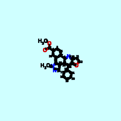 COC(=O)c1ccc(-c2nc3ccoc3c(-c3ccccc3)c2-c2cnn(C)c2)cc1